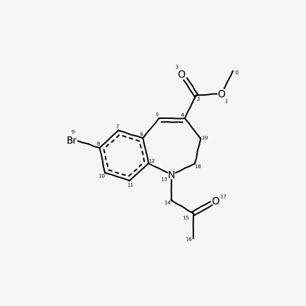 COC(=O)C1=Cc2cc(Br)ccc2N(CC(C)=O)CC1